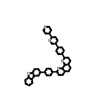 c1ccc2c(c1)oc1ccc(-c3ccc(-c4ccc5ccc6ccc(-c7ccc(-c8ccc(-c9ccncc9)nc8)cc7)nc6c5n4)cc3)cc12